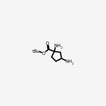 CC(C)(C)OC(=O)C1(N)CCC(N)C1